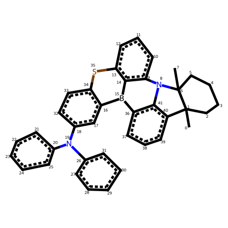 CC12CCCCC1(C)N1c3cccc4c3B(c3cc(N(c5ccccc5)c5ccccc5)ccc3S4)c3cccc2c31